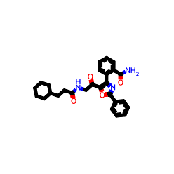 NC(=O)c1ccccc1-c1nc(-c2ccccc2)oc1C(=O)CNC(=O)[CH]CC1CCCCC1